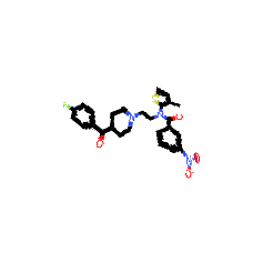 Cc1ccsc1N(CCN1CCC(C(=O)c2ccc(F)cc2)CC1)C(=O)c1cccc([N+](=O)[O-])c1